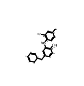 Cc1ccc(Pc2cc(CC3C=CC=CC3)ccc2O)c(F)c1